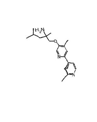 Cc1cc(-c2cc(C)c(OCC(C)(N)CC(C)C)cn2)ccn1